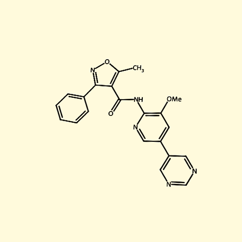 COc1cc(-c2cncnc2)cnc1NC(=O)c1c(-c2ccccc2)noc1C